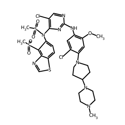 COc1cc(N2CCC(N3CCN(C)CC3)CC2)c(Cl)cc1Nc1ncc(Cl)c(N(c2ccc3scnc3c2S(C)(=O)=O)S(C)(=O)=O)n1